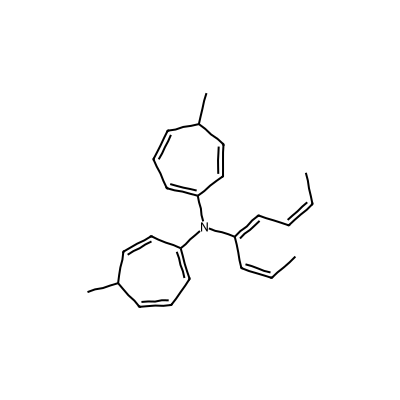 C\C=C/C=C(\C=C/C)N(C1=CC=CC(C)C=C1)C1=CC=CC(C)C=C1